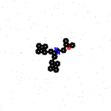 c1cc(-c2cnc3c4ccc(-c5ccc6c(c5)C5(c7ccccc7-c7ccccc75)c5ccccc5-6)cc4c4cc(-c5ccc6c(c5)C5(c7ccccc7-c7ccccc75)c5ccccc5-6)ccc4c3n2)cc(-c2cc3ccccc3c3c2oc2ccccc23)c1